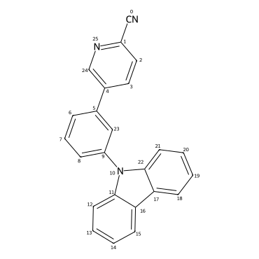 N#Cc1ccc(-c2cccc(-n3c4ccccc4c4ccccc43)c2)cn1